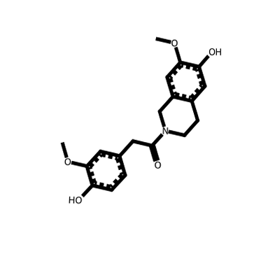 COc1cc(CC(=O)N2CCc3cc(O)c(OC)cc3C2)ccc1O